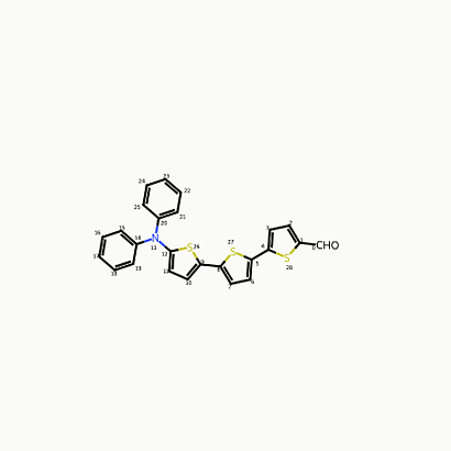 O=Cc1ccc(-c2ccc(-c3ccc(N(c4ccccc4)c4ccccc4)s3)s2)s1